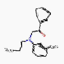 COCCN(CC(=O)c1ccccc1)c1cccc(OC)c1